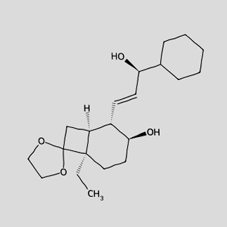 CC[C@@]12CC[C@H](O)[C@@H](/C=C/[C@@H](O)C3CCCCC3)[C@@H]1CC21OCCO1